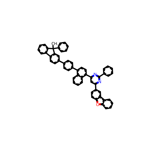 CC1(c2ccccc2)c2ccccc2-c2ccc(-c3ccc(-c4ccc(-c5cc(-c6ccc7oc8ccccc8c7c6)nc(-c6ccccc6)n5)c5ccccc45)cc3)cc21